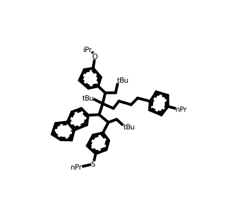 CCCSc1ccc(C(CC(C)(C)C)[C](c2ccc3ccccc3c2)C(CCCCc2ccc(CCC)cc2)(C(CC(C)(C)C)c2cccc(OC(C)C)c2)C(C)(C)C)cc1